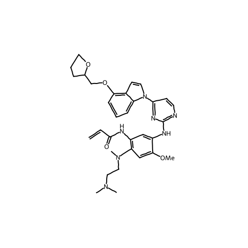 C=CC(=O)Nc1cc(Nc2nccc(-n3ccc4c(OCC5CCCO5)cccc43)n2)c(OC)cc1N(C)CCN(C)C